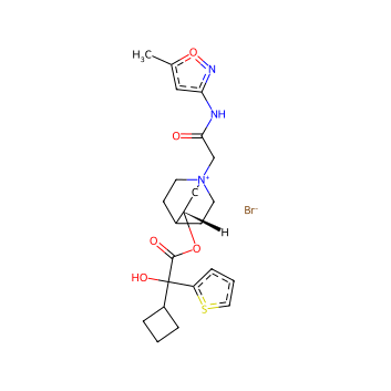 Cc1cc(NC(=O)C[N+]23CCC(CC2)[C@@H](OC(=O)C(O)(c2cccs2)C2CCC2)C3)no1.[Br-]